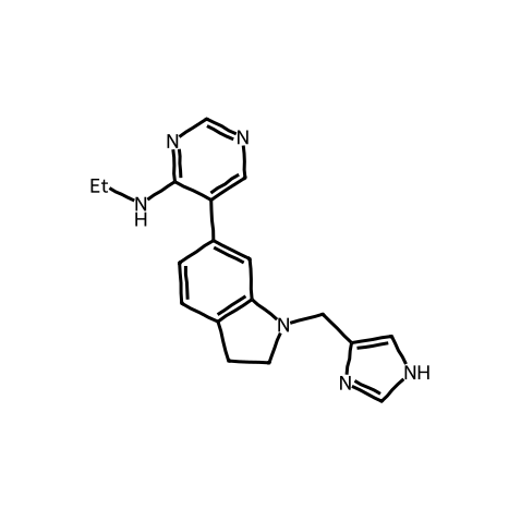 CCNc1ncncc1-c1ccc2c(c1)N(Cc1c[nH]cn1)CC2